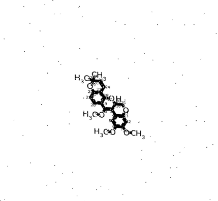 COC1=C2c3cc(OC)c(OC)cc3OC[C@H]2Oc2c1ccc1c2C=CC(C)(C)O1